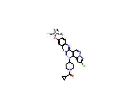 CCc1cc(O[Si](C)(C)C(C)(C)C)ccc1/N=C(\N)c1cnn2cc(Br)cc2c1NC1CCN(C(=O)C2CC2)CC1